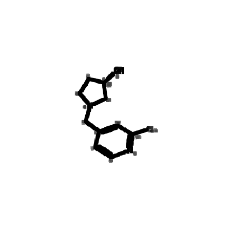 O[C@@H]1CCN(Cc2ccnc(Cl)c2)C1